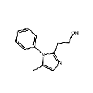 Cc1cnc(CCO)n1-c1ccccc1